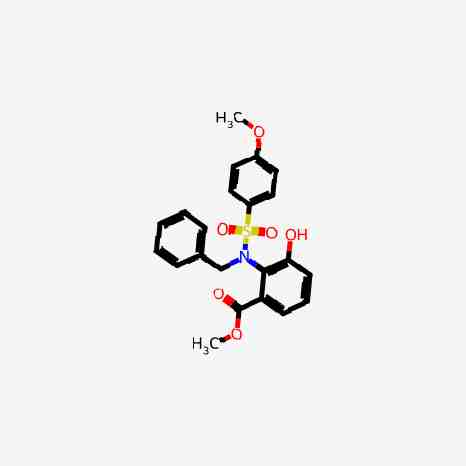 COC(=O)c1cccc(O)c1N(Cc1ccccc1)S(=O)(=O)c1ccc(OC)cc1